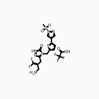 CS(=O)(=O)n1cc(-c2ccc(Cn3c(CC(CN)=C(F)F)n[nH]c3=O)s2)cn1.O=C(O)C(F)(F)F